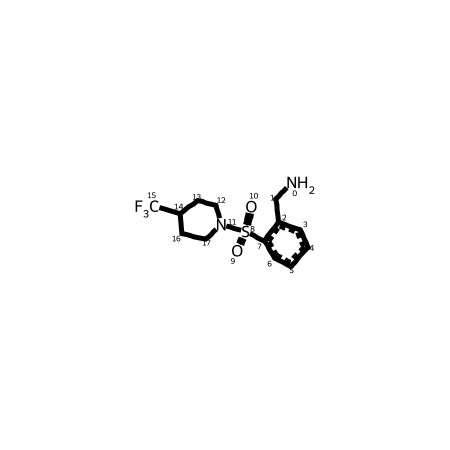 NCc1ccccc1S(=O)(=O)N1CCC(C(F)(F)F)CC1